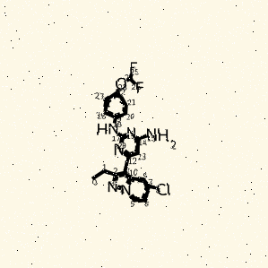 CCc1nn2ccc(Cl)cc2c1-c1cc(N)nc(Nc2ccc(OC(F)F)cc2)n1